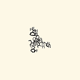 CCC(C)[C@H](NC(=O)Cc1ccccc1F)C(=O)N[C@]1(C(=O)NC(C(=S)NCc2ccncn2)[C@@H](C)CC)CCc2[nH]c3c(C(F)(F)F)cccc3c2C1